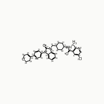 Cc1ncc(Cl)cc1C(=O)NC1CCC(Cn2c(=O)n(-c3ccc(C4=CCOCC4)nc3)c3ccccc32)CC1